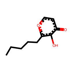 CCCCCc1occc(=O)c1O